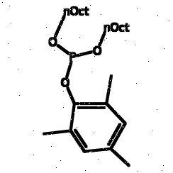 CCCCCCCCOP(OCCCCCCCC)Oc1c(C)cc(C)cc1C